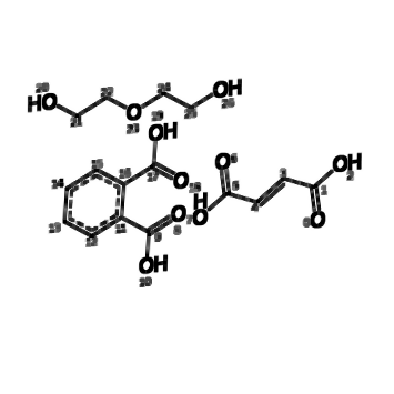 O=C(O)C=CC(=O)O.O=C(O)c1ccccc1C(=O)O.OCCOCCO